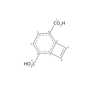 O=C(O)c1ccc(C(=O)O)c2c1C=C2